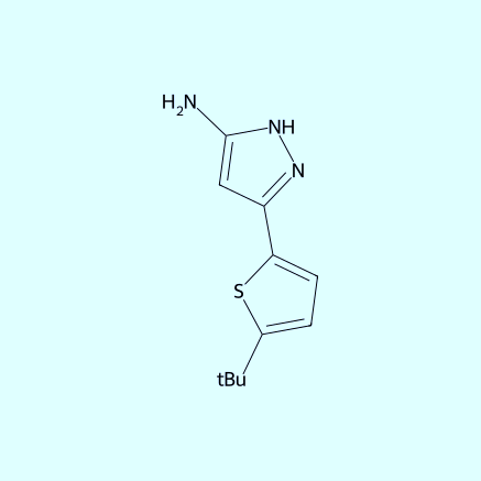 CC(C)(C)c1ccc(-c2cc(N)[nH]n2)s1